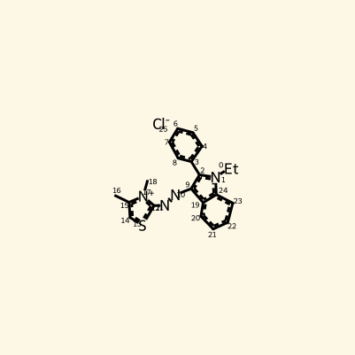 CCn1c(-c2ccccc2)c(N=Nc2scc(C)[n+]2C)c2ccccc21.[Cl-]